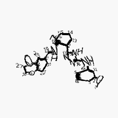 COc1cccc(Nc2nnc(-c3cccnc3NCc3ccc4c(c3)OCCO4)[nH]2)c1